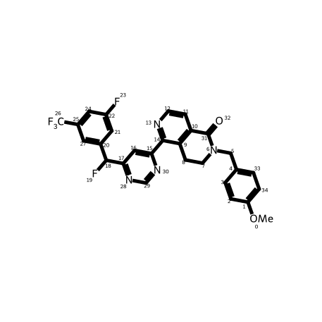 COc1ccc(CN2CCc3c(ccnc3-c3cc(C(F)c4cc(F)cc(C(F)(F)F)c4)ncn3)C2=O)cc1